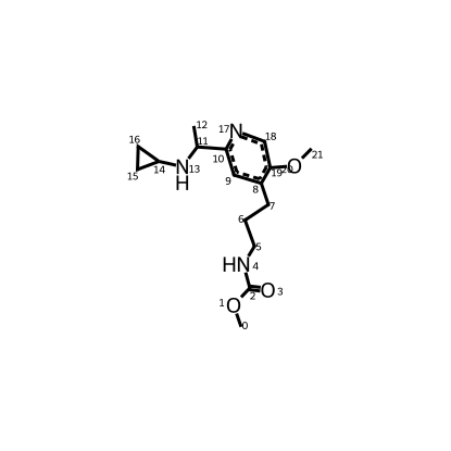 COC(=O)NCCCc1cc(C(C)NC2CC2)ncc1OC